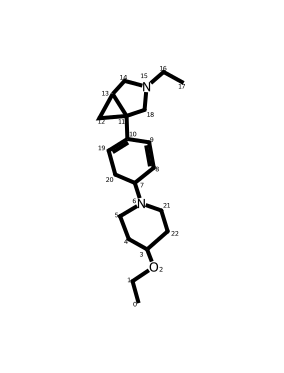 CCOC1CCN(C2C=CC(C34CC3CN(CC)C4)=CC2)CC1